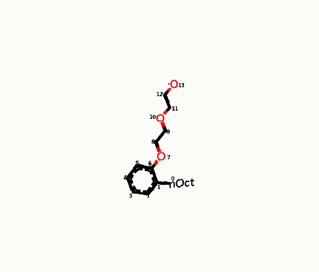 CCCCCCCCc1ccccc1OCCOCC[O]